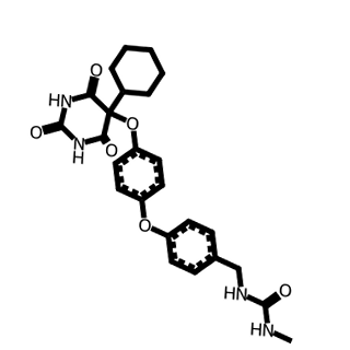 CNC(=O)NCc1ccc(Oc2ccc(OC3(C4CCCCC4)C(=O)NC(=O)NC3=O)cc2)cc1